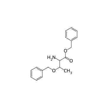 CC(OCc1ccccc1)C(N)C(=O)OCc1ccccc1